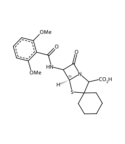 COc1cccc(OC)c1C(=O)NC1C(=O)N2C(C(=O)O)C3(CCCCC3)S[C@@H]12